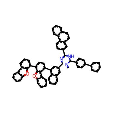 C=NC(N/C(=N\Cc1cc(-c2ccc(-c3cccc4c3oc3ccccc34)c3oc4ccccc4c23)c2ccccc2c1)c1ccc2c(ccc3ccccc32)c1)c1ccc(-c2ccccc2)cc1